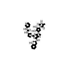 CC1NC(=O)N([C@H]2C[C@@H](n3cnc4c(N[C@H](CO)Cc5ccccc5)nc(N5CCC(NC(=O)Nc6cccnc6)C5)nc43)[C@H](O)[C@@H]2O)C1=O